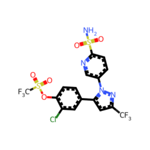 NS(=O)(=O)c1ccc(-n2nc(C(F)(F)F)cc2-c2ccc(OS(=O)(=O)C(F)(F)F)c(Cl)c2)cn1